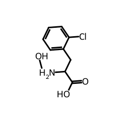 CO.NC(Cc1ccccc1Cl)C(=O)O